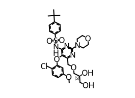 COc1ccc(Cl)c(Oc2c(COC[C@@H](O)CO)nc(N3CCOCC3)nc2NS(=O)(=O)c2ccc(C(C)(C)C)cc2)c1